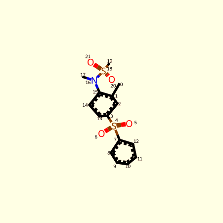 Cc1cc(S(=O)(=O)c2ccccc2)ccc1N(C)S(C)(=O)=O